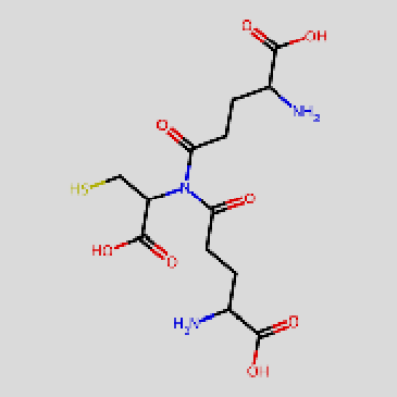 NC(CCC(=O)N(C(=O)CCC(N)C(=O)O)C(CS)C(=O)O)C(=O)O